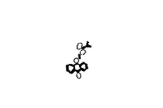 C=C(C)C(=O)OCCOC1c2ccccc2C(=O)c2ccccc21